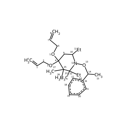 C=CCOC1(OCC=C)CC(CC)N(OC(C)c2ccccc2)C(C)(CC)C1(C)C